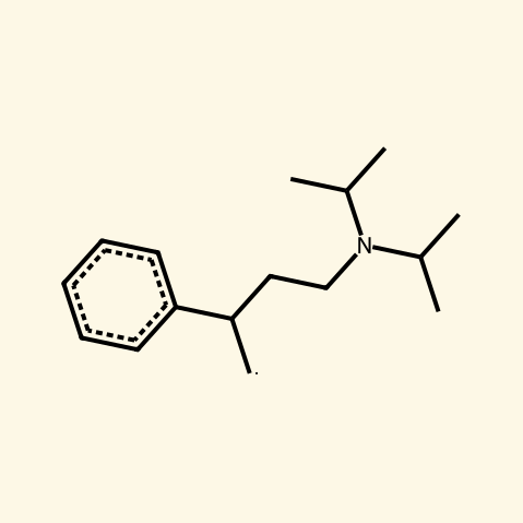 [CH2]C(CCN(C(C)C)C(C)C)c1ccccc1